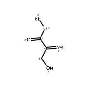 CCOC(=O)C(=N)CO